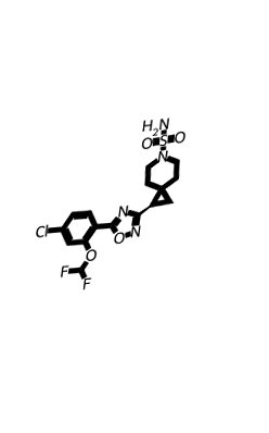 NS(=O)(=O)N1CCC2(CC1)C[C@H]2c1noc(-c2ccc(Cl)cc2OC(F)F)n1